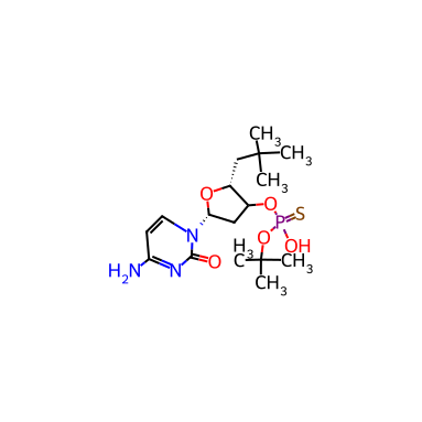 CC(C)(C)C[C@H]1O[C@@H](n2ccc(N)nc2=O)CC1OP(O)(=S)OC(C)(C)C